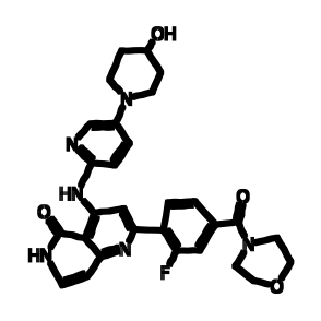 O=C(c1ccc(-c2cc(Nc3ccc(N4CCC(O)CC4)cn3)c3c(=O)[nH]ccc3n2)c(F)c1)N1CCOCC1